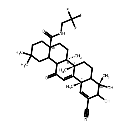 CC1(C)CC[C@]2(C(=O)NCC(F)(F)F)CC[C@]3(C)C(C(=O)C=C4[C@@]5(C)C=C(C#N)C(O)[C@@](C)(O)C5CC[C@]43C)C2C1